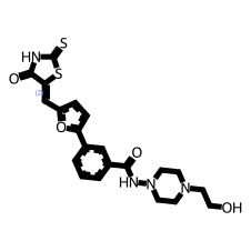 O=C1NC(=S)S/C1=C\c1ccc(-c2cccc(C(=O)NN3CCN(CCO)CC3)c2)o1